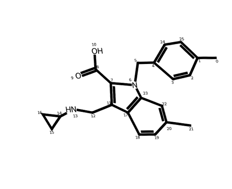 Cc1ccc(Cn2c(C(=O)O)c(CNC3CC3)c3ccc(C)cc32)cc1